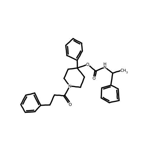 CC(NC(=O)OC1(c2ccccc2)CCN(C(=O)CCc2ccccc2)CC1)c1ccccc1